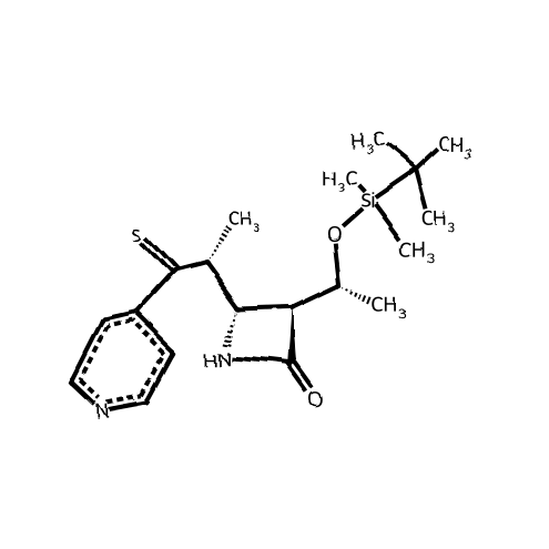 C[C@@H](O[Si](C)(C)C(C)(C)C)[C@H]1C(=O)N[C@@H]1[C@@H](C)C(=S)c1ccncc1